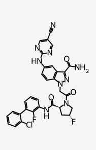 N#Cc1cnc(Nc2ccc3c(c2)c(C(N)=O)nn3CC(=O)N2C[C@H](F)C[C@H]2C(=O)Nc2cccc(-c3ccccc3Cl)c2F)nc1